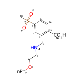 CCCOCCNCc1cc(S(C)(=O)=O)ccc1C(=O)O